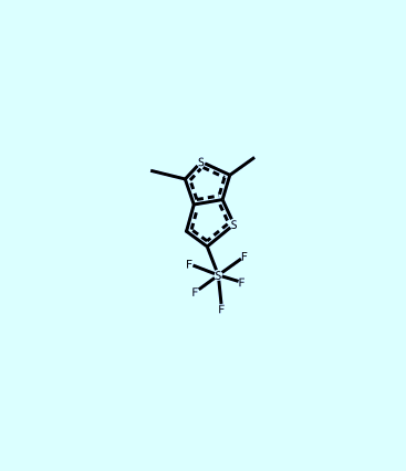 Cc1sc(C)c2sc(S(F)(F)(F)(F)F)cc12